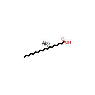 CCCCCCCCCCCCCCCCCC(=O)O.[AlH3].[MgH2]